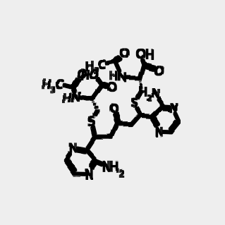 CC(=O)N[C@@H](CSC(CC(=O)CC(SC[C@H](NC(C)=O)C(=O)O)c1nccnc1N)c1nccnc1N)C(=O)O